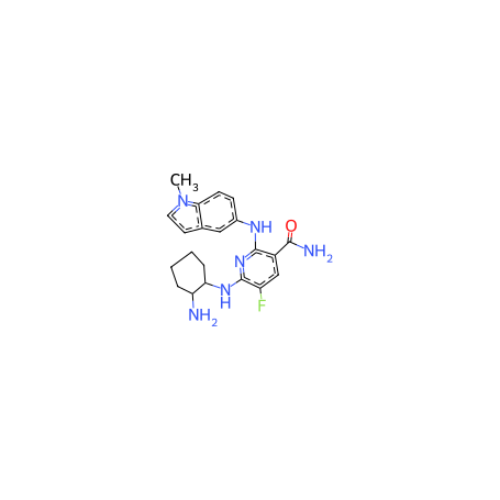 Cn1ccc2cc(Nc3nc(NC4CCCCC4N)c(F)cc3C(N)=O)ccc21